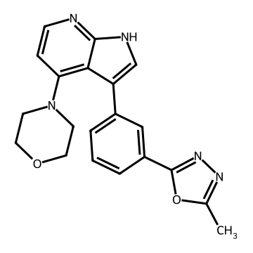 Cc1nnc(-c2cccc(-c3c[nH]c4nccc(N5CCOCC5)c34)c2)o1